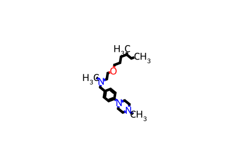 CCC(C)CCCOCCN(C)Cc1ccc(N2CCN(C)CC2)cc1